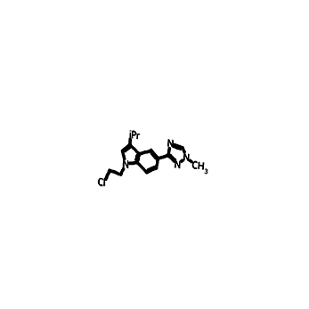 CC(C)c1cn(CCCl)c2ccc(-c3ncn(C)n3)cc12